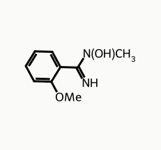 COc1ccccc1C(=N)N(C)O